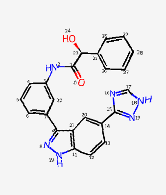 O=C(Nc1cccc(-c2n[nH]c3ccc(-c4nc[nH]n4)cc23)c1)[C@@H](O)c1ccccc1